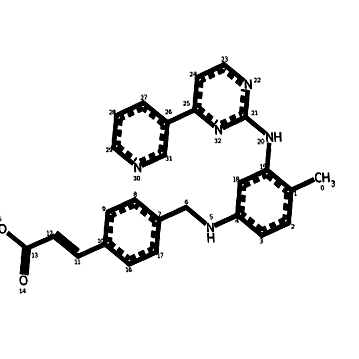 Cc1ccc(NCc2ccc(C=CC(=O)O)cc2)cc1Nc1nccc(-c2cccnc2)n1